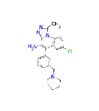 Cc1nnc2c(N)c(-c3cccc(CN4CCCCC4)c3)c3cc(Cl)ccc3n12